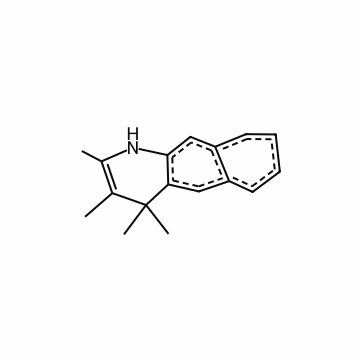 CC1=C(C)C(C)(C)c2cc3ccccc3cc2N1